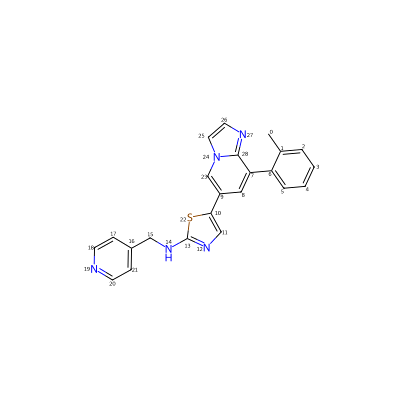 Cc1ccccc1-c1cc(-c2cnc(NCc3ccncc3)s2)cn2ccnc12